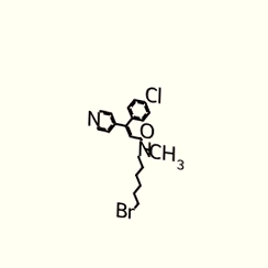 CN(CCCCCCBr)C(=O)C=C(c1ccncc1)c1ccc(Cl)cc1